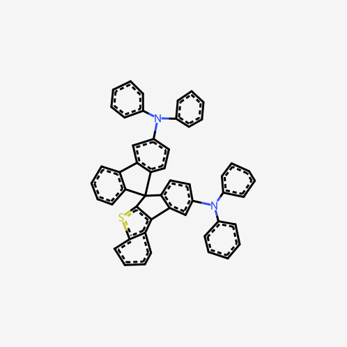 c1ccc(N(c2ccccc2)c2ccc3c(c2)-c2ccccc2C32c3ccc(N(c4ccccc4)c4ccccc4)cc3-c3c2sc2ccccc32)cc1